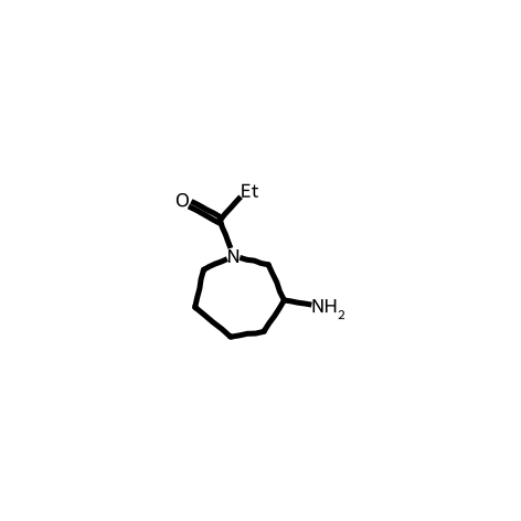 CCC(=O)N1CCCCC(N)C1